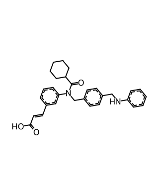 O=C(O)C=Cc1cccc(N(Cc2ccc(CNc3ccccc3)cc2)C(=O)C2CCCCC2)c1